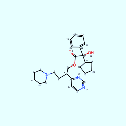 O=C(OC[C@H](CCN1CCCCC1)c1ccncn1)C(O)(c1ccccc1)C1CCCC1